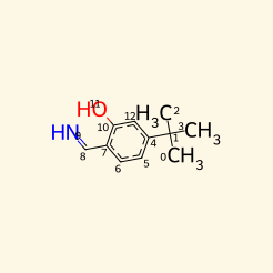 CC(C)(C)c1ccc(C=N)c(O)c1